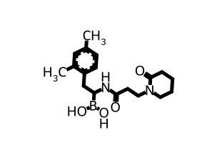 Cc1ccc(CC(NC(=O)CCN2CCCCC2=O)B(O)O)c(C)c1